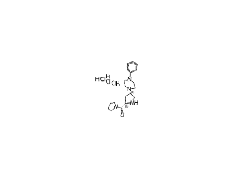 Cl.Cl.Cl.O=C([C@@H]1C[C@H](N2CCN(c3ccccc3)CC2)CN1)N1CCCC1